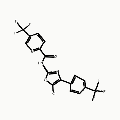 O=C(Nc1nc(-c2ccc(C(F)(F)F)cc2)c(Cl)o1)c1ccc(C(F)(F)F)cn1